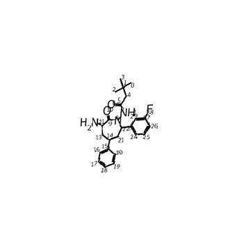 CC(C)(C)CC(=O)NN1C(=O)C(N)CC(c2ccccc2)CC1c1cccc(F)c1